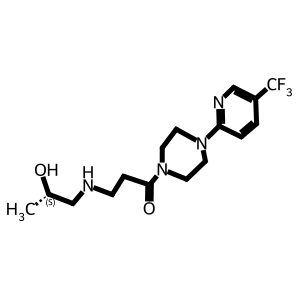 C[C@H](O)CNCCC(=O)N1CCN(c2ccc(C(F)(F)F)cn2)CC1